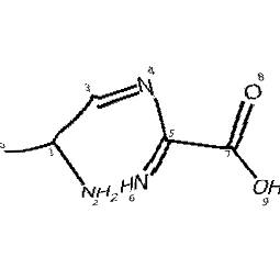 CC(N)/C=N\C(=N)C(=O)O